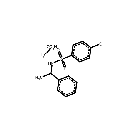 CC(=O)O.CC(NS(=O)(=O)c1ccc(Cl)cc1)c1ccccc1